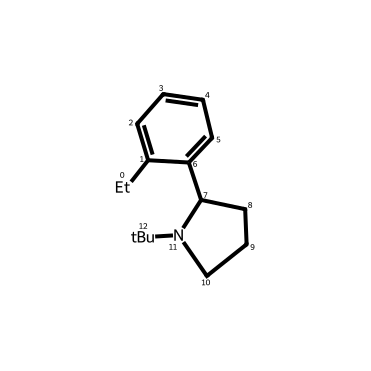 CCc1ccccc1C1CCCN1C(C)(C)C